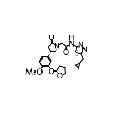 COc1ccc([C@@H]2CC(=O)N(CC(=O)Nc3nnc(CC4CC4)s3)C2)cc1OC1CCCO1